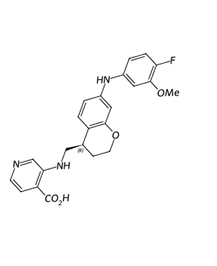 COc1cc(Nc2ccc3c(c2)OCC[C@H]3CNc2cnccc2C(=O)O)ccc1F